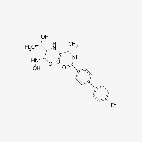 CCc1ccc(-c2ccc(C(=O)N[C@@H](C)C(=O)N[C@H](C(=O)NO)[C@@H](C)O)cc2)cc1